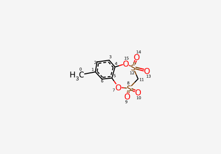 Cc1ccc2c(c1)OS(=O)(=O)CS(=O)(=O)O2